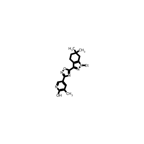 CCn1nc(-c2nc(-c3cnc(O)c(C)c3)no2)c2c1CC(C)(C)CC2